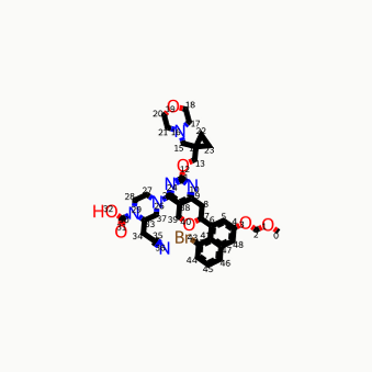 COCOc1cc(C2Cc3nc(OCC4(CN5CCOCC5)CC4)nc(N4CCN(C(=O)O)C(CC#N)C4)c3CO2)c2c(Br)cccc2c1